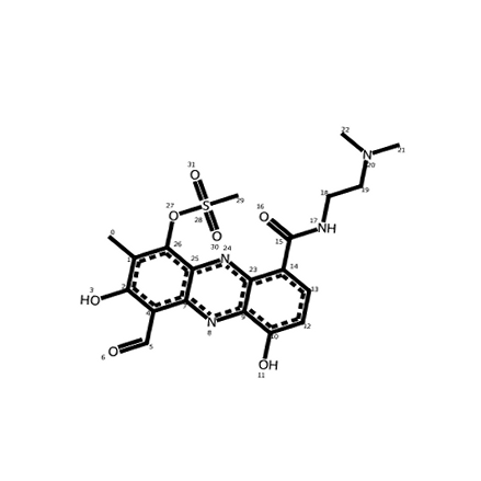 Cc1c(O)c(C=O)c2nc3c(O)ccc(C(=O)NCCN(C)C)c3nc2c1OS(C)(=O)=O